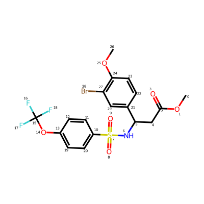 COC(=O)CC(NS(=O)(=O)c1ccc(OC(F)(F)F)cc1)c1ccc(OC)c(Br)c1